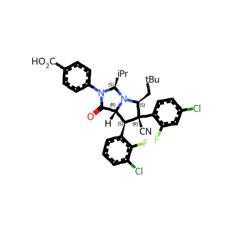 CC(C)[C@@H]1N(c2ccc(C(=O)O)cc2)C(=O)[C@H]2[C@H](c3cccc(Cl)c3F)[C@@](C#N)(c3ccc(Cl)cc3F)[C@H](CC(C)(C)C)N12